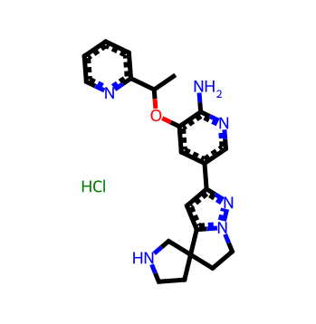 CC(Oc1cc(-c2cc3n(n2)CCC32CCNC2)cnc1N)c1ccccn1.Cl